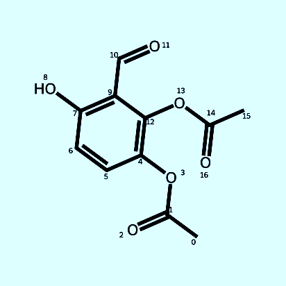 CC(=O)Oc1ccc(O)c(C=O)c1OC(C)=O